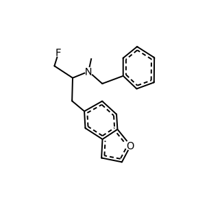 CN(Cc1ccccc1)C(CF)Cc1ccc2occc2c1